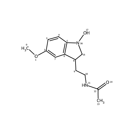 COc1ccc2c(c1)C(CCNC(C)=O)CN2O